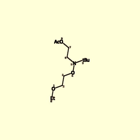 CCOCCON(CCOC(C)=O)C(C)(C)C